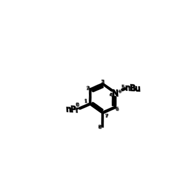 [CH2]CCc1cc[n+](CCCC)cc1C